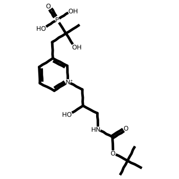 CC(C)(C)OC(=O)NCC(O)C[n+]1cccc(CC(C)(O)P(=O)(O)O)c1